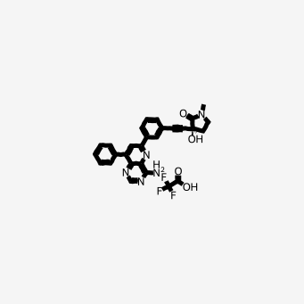 CN1CC[C@@](O)(C#Cc2cccc(-c3cc(-c4ccccc4)c4ncnc(N)c4n3)c2)C1=O.O=C(O)C(F)(F)F